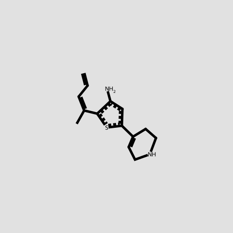 C=C/C=C(/C)c1sc(C2=CCNCC2)cc1N